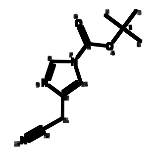 CC(C)(C)OC(=O)n1cnc(CC#N)c1